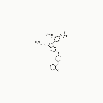 CNCc1cc(OC(F)(F)F)ccc1-c1cn(CCCN)c2ccc(CN3CCN(Cc4ccccc4Cl)CC3)cc12